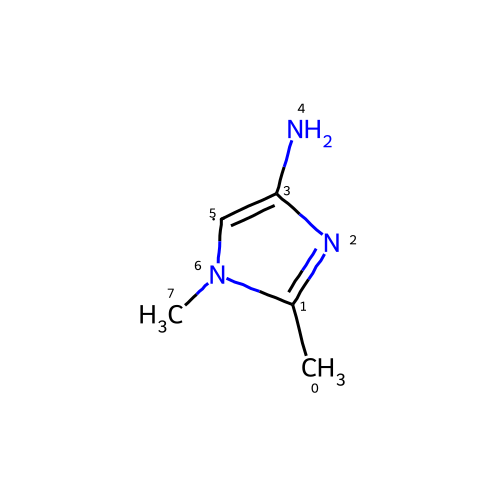 Cc1nc(N)[c]n1C